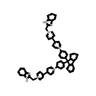 c1ccc2c(c1)-c1ccccc1C2(c1ccc(-[n+]2ccc(-c3cc[n+](Cc4nc5ccccc5[nH]4)cc3)cc2)cc1)c1ccc(-[n+]2ccc(-c3cc[n+](Cc4nc5ccccc5[nH]4)cc3)cc2)cc1